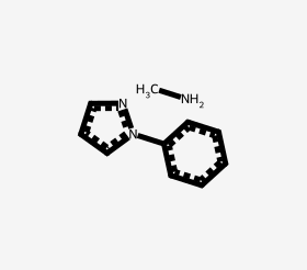 CN.c1ccc(-n2cccn2)cc1